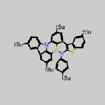 CC(C)(C)c1ccc(N2B3c4c(cc(C(C)(C)C)cc4-n4c5ccc(C(C)(C)C)cc5c5cc(C(C)(C)C)cc3c54)-c3c2sc2ccc(C(C)(C)C)cc32)cc1